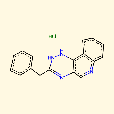 Cl.c1ccc(CC2=Nc3cnc4ccccc4c3NN2)cc1